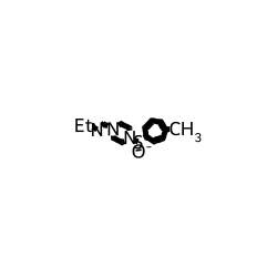 CC/N=C/N1CCN([S+]([O-])C2C=CC=C(C)C=C2)CC1